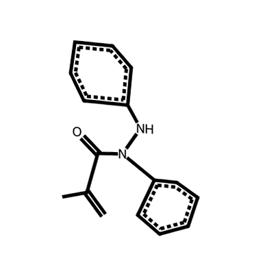 C=C(C)C(=O)N(Nc1ccccc1)c1ccccc1